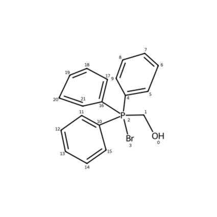 OCP(Br)(c1ccccc1)(c1ccccc1)c1ccccc1